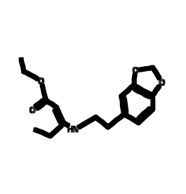 CCOC(=O)C=C(CC)NCCc1ccc2c(c1)OCO2